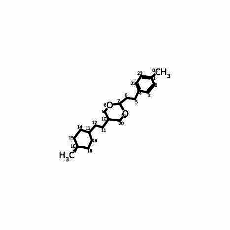 Cc1ccc(CCC2OCC(CCC3CCC(C)CC3)CO2)cc1